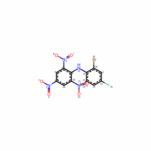 O=[N+]([O-])c1cc([N+](=O)[O-])c(Nc2c(Br)cc(F)cc2Br)c([N+](=O)[O-])c1